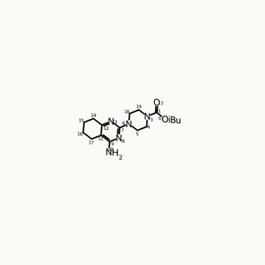 CC(C)COC(=O)N1CCN(c2nc(N)c3c(n2)CCCC3)CC1